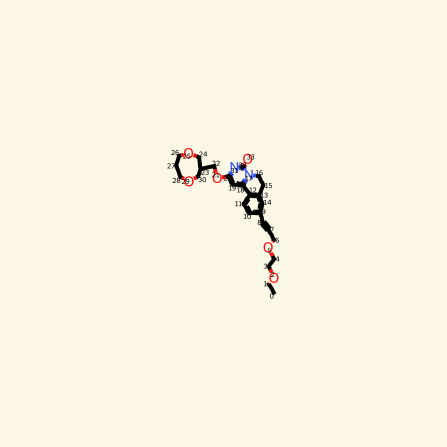 CCOCCOCC#Cc1ccc2c(c1)CCn1c-2cc(OCC2COCCCOC2)nc1=O